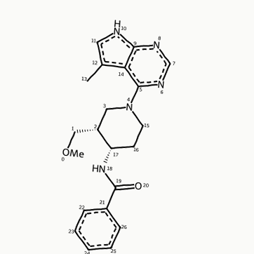 COC[C@@H]1CN(c2ncnc3[nH]cc(C)c23)CC[C@@H]1NC(=O)c1ccccc1